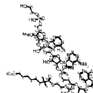 CCCCCCCCCCCCCCCCC(C)(C)C(=O)OCCSP(=O)(O)O[C@H]1CO[C@@H](n2cnc3c(N)ncnc32)C1OCCCOP(O)(=S)OC1[C@@H](O)[C@@H](COP(=O)(O)OC2[C@@H](OC)[C@@H](COP(=O)(O)OCCO)O[C@H]2n2cnc3c(N)ncnc32)O[C@H]1n1cnc2c(N)ncnc21